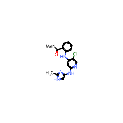 CNC(=O)c1ccccc1Nc1cc(Nc2c[nH]c(C)n2)ncc1Cl